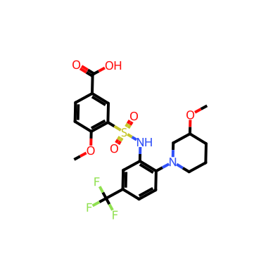 COc1ccc(C(=O)O)cc1S(=O)(=O)Nc1cc(C(F)(F)F)ccc1N1CCCC(OC)C1